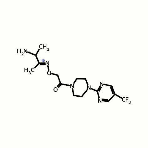 C/C(=N\OCC(=O)N1CCN(c2ncc(C(F)(F)F)cn2)CC1)C(C)N